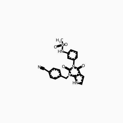 CS(=O)(=O)Nc1cccc(-n2c(=O)c3cc[nH]c3n(Cc3ccc(C#N)cc3)c2=O)c1